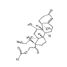 CCC(=O)OCC(=O)[C@@]1(OCSC)CC[C@H]2[C@@H]3CCC4=CC(=O)CC[C@]4(C)[C@H]3C(O)C[C@@]21C